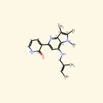 CCC/C=C(\C)CNc1cc(-c2ccc[nH]c2=O)nc2c(C)c(CC)n(C(C)C)c12